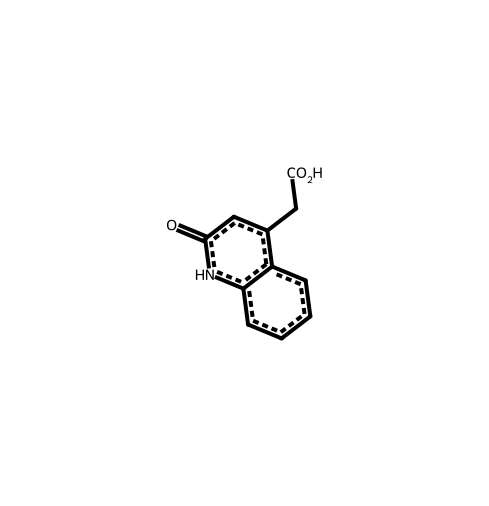 O=C(O)Cc1cc(=O)[nH]c2ccccc12